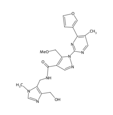 COCc1c(C(=O)NCc2c(CO)ncn2C)cnn1-c1ncc(C)c(-c2ccoc2)n1